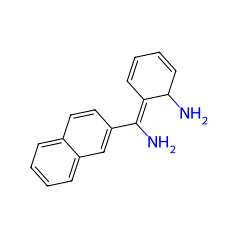 N/C(=C1/C=CC=CC1N)c1ccc2ccccc2c1